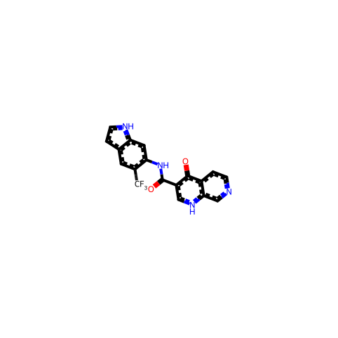 O=C(Nc1cc2[nH]ccc2cc1C(F)(F)F)c1c[nH]c2cnccc2c1=O